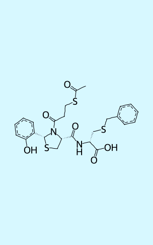 CC(=O)SCCC(=O)N1[C@@H](c2ccccc2O)SC[C@H]1C(=O)N[C@H](CSCc1ccccc1)C(=O)O